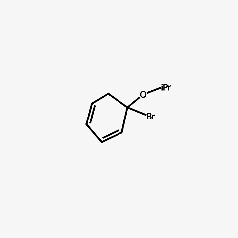 CC(C)OC1(Br)C=CC=CC1